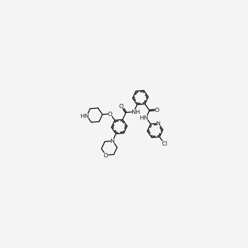 O=C(Nc1ccc(Cl)cn1)c1ccccc1NC(=O)c1ccc(N2CCOCC2)cc1OC1CCNCC1